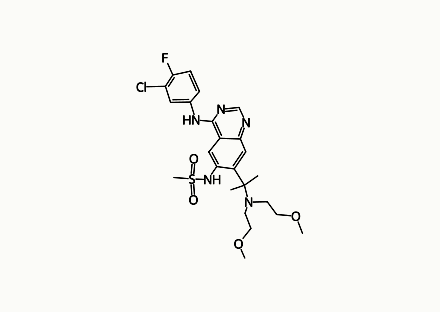 COCCN(CCOC)C(C)(C)c1cc2ncnc(Nc3ccc(F)c(Cl)c3)c2cc1NS(C)(=O)=O